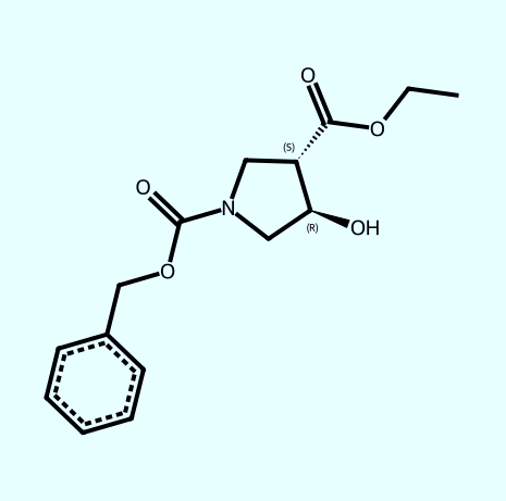 CCOC(=O)[C@H]1CN(C(=O)OCc2ccccc2)C[C@@H]1O